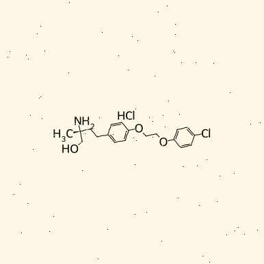 C[C@](N)(CO)CCc1ccc(OCCOc2ccc(Cl)cc2)cc1.Cl